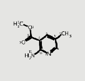 COC(=O)c1cc(C)cnc1N